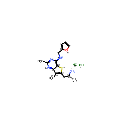 Cc1nc(NCc2ccco2)c2sc(C[C@H](C)N)c(C)c2n1.Cl.Cl